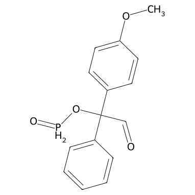 COc1ccc(C(C=O)(O[PH2]=O)c2ccccc2)cc1